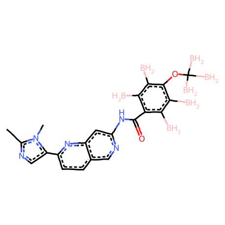 Bc1c(B)c(C(=O)Nc2cc3nc(-c4cnc(C)n4C)ccc3cn2)c(B)c(B)c1OC(B)(B)B